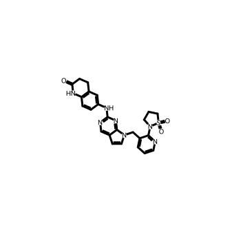 O=C1CCc2cc(Nc3ncc4ccn(Cc5cccnc5N5CCCS5(=O)=O)c4n3)ccc2N1